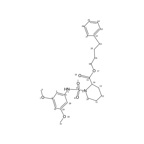 COc1cc(NS(=O)(=O)N2CCCCC2C(=O)OCCCCc2ccccc2)cc(OC)c1